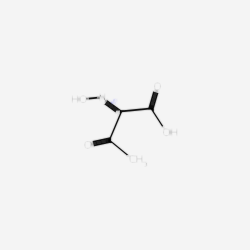 CC(=O)/C(=N\O)C(=O)O